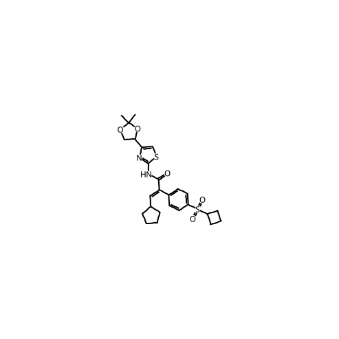 CC1(C)OCC(c2csc(NC(=O)/C(=C/C3CCCC3)c3ccc(S(=O)(=O)C4CCC4)cc3)n2)O1